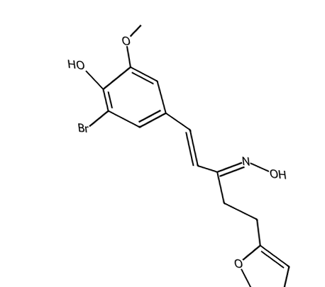 COc1cc(C=CC(CCc2ccco2)=NO)cc(Br)c1O